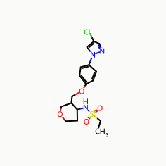 CCS(=O)(=O)NC1CCOCC1COc1ccc(-n2cc(Cl)cn2)cc1